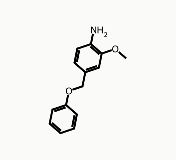 COc1cc(COc2ccccc2)ccc1N